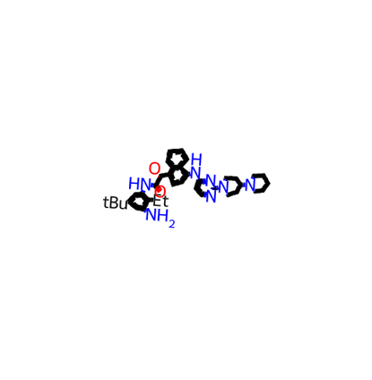 CCc1c(N)cc(C(C)(C)C)cc1NC(=O)C(=O)c1ccc(Nc2ccnc(N3CCC(N4CCCCC4)CC3)n2)c2ccccc12